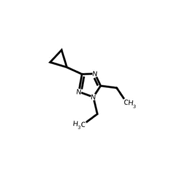 CCc1nc(C2CC2)nn1CC